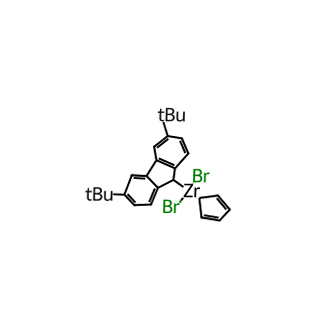 CC(C)(C)c1ccc2c(c1)-c1cc(C(C)(C)C)ccc1[CH]2[Zr]([Br])([Br])[CH]1C=CC=C1